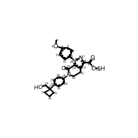 COc1ccc(-n2nc(C(=O)OS)c3c2C(=O)N(c2ccc(C4(CO)CCC4)cc2)CC3)cc1